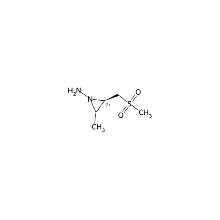 CC1[C@H](CS(C)(=O)=O)N1N